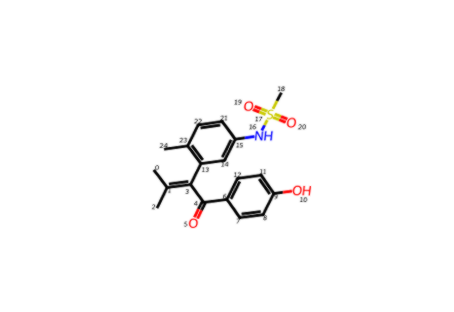 CC(C)=C(C(=O)c1ccc(O)cc1)c1cc(NS(C)(=O)=O)ccc1C